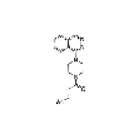 CC(=O)C=CC(=O)N1CCN(c2nncc3ccccc23)CC1